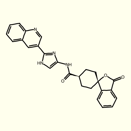 O=C1O[C@]2(CC[C@H](C(=O)Nc3c[nH]c(-c4cnc5ccccc5c4)n3)CC2)c2ccccc21